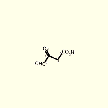 O=[C]C(=O)CC(=O)O